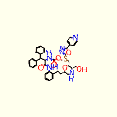 COC(=O)NC(C(=O)Nc1ccccc1CC[C@@H]1CN[C@H](CO)[C@@H](CSc2nnc(-c3ccncc3)o2)O1)C(c1ccccc1)c1ccccc1